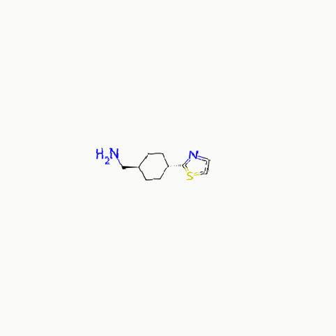 NC[C@H]1CC[C@H](c2nccs2)CC1